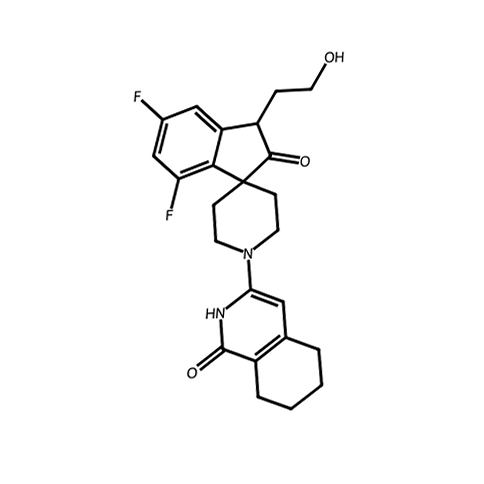 O=C1C(CCO)c2cc(F)cc(F)c2C12CCN(c1cc3c(c(=O)[nH]1)CCCC3)CC2